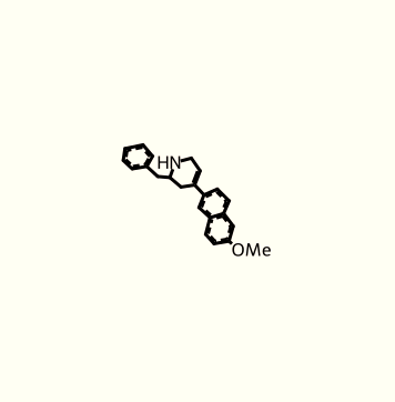 COc1ccc2cc(C3=CCNC(Cc4ccccc4)C3)ccc2c1